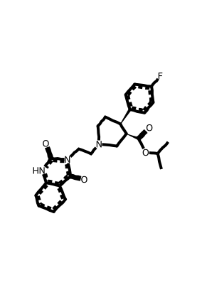 CC(C)OC(=O)[C@H]1CN(CCn2c(=O)[nH]c3ccccc3c2=O)CC[C@H]1c1ccc(F)cc1